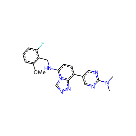 COc1cccc(F)c1CNc1ccc(-c2cnc(N(C)C)nc2)c2nncn12